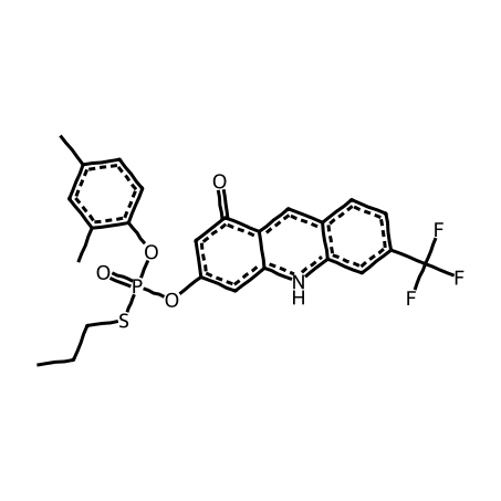 CCCSP(=O)(Oc1cc2[nH]c3cc(C(F)(F)F)ccc3cc-2c(=O)c1)Oc1ccc(C)cc1C